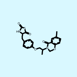 Cc1ccc2c(c1)C(=O)N(C(C)COc1ccc(CC3NC(=O)SC3=O)cc1)CO2